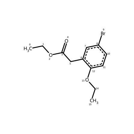 CCOC(=O)Cc1cc(Br)ccc1OCC